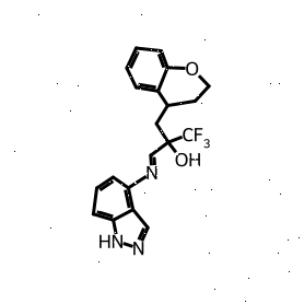 OC(C=Nc1cccc2[nH]ncc12)(CC1CCOc2ccccc21)C(F)(F)F